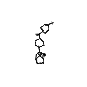 CCOC(=O)N1C2CCC1CC(N1CCC(Nc3ccc(F)cc3)CC1)C2